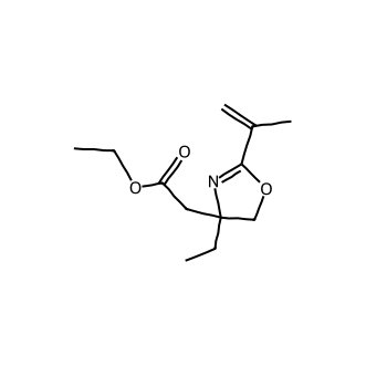 C=C(C)C1=NC(CC)(CC(=O)OCC)CO1